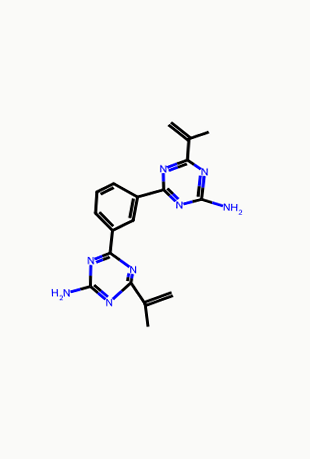 C=C(C)c1nc(N)nc(-c2cccc(-c3nc(N)nc(C(=C)C)n3)c2)n1